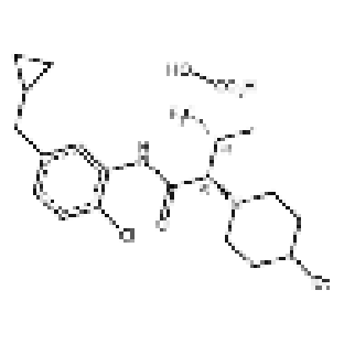 CCC1CCN([C@@H](C(=O)Nc2cc(CC3CC3)ccc2Cl)[C@@H](C)C(F)(F)F)CC1.O=C(O)O